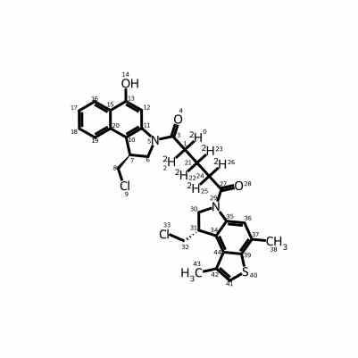 [2H]C([2H])(C(=O)N1C[C@@H](CCl)c2c1cc(O)c1ccccc21)C([2H])([2H])C([2H])([2H])C(=O)N1C[C@@H](CCl)c2c1cc(C)c1scc(C)c21